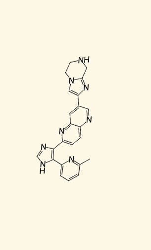 Cc1cccc(-c2[nH]cnc2-c2ccc3ncc(-c4cn5c(n4)CNCC5)cc3n2)n1